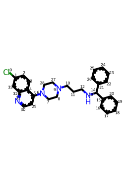 Clc1ccc2c(N3CCN(CCCNC(c4ccccc4)c4ccccc4)CC3)ccnc2c1